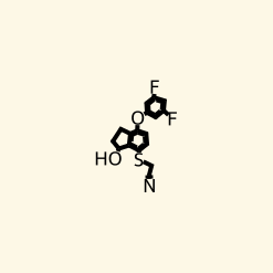 N#CCSc1ccc(Oc2cc(F)cc(F)c2)c2c1C(O)CC2